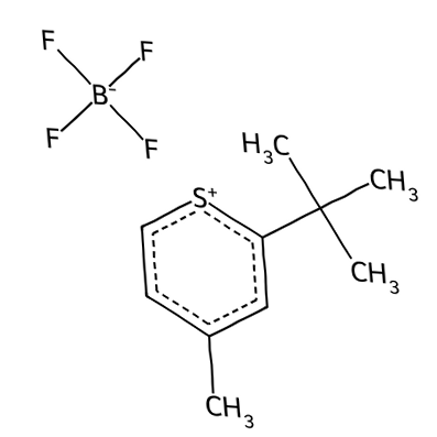 Cc1cc[s+]c(C(C)(C)C)c1.F[B-](F)(F)F